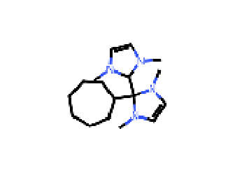 CN1C=CN(C)C1C1(C2CCCCCC2)N(C)C=CN1C